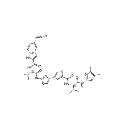 Cc1nc(NC(=O)[C@@H](NC(=O)c2cc(-c3csc(NC(=O)[C@@H](NC(=O)c4cc5cc(N=[N+]=[N-])ccc5[nH]4)C(C)C)n3)cs2)C(C)C)sc1C